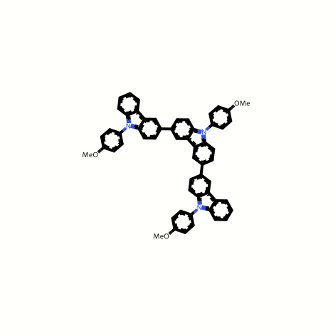 COc1ccc(-n2c3ccccc3c3cc(-c4ccc5c(c4)c4cc(-c6ccc7c(c6)c6ccccc6n7-c6ccc(OC)cc6)ccc4n5-c4ccc(OC)cc4)ccc32)cc1